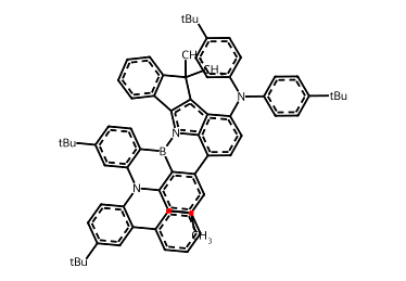 Cc1cc2c3c(c1)N(c1ccc(C(C)(C)C)cc1-c1ccccc1)c1cc(C(C)(C)C)ccc1B3n1c3c(c4c(N(c5ccc(C(C)(C)C)cc5)c5ccc(C(C)(C)C)cc5)ccc-2c41)C(C)(C)c1ccccc1-3